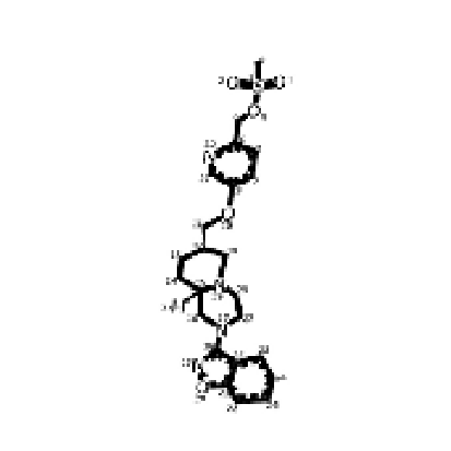 CS(=O)(=O)OCc1ccc(OC[C@@H]2CC[C@H]3CN(c4noc5ccccc45)CCN3C2)cn1